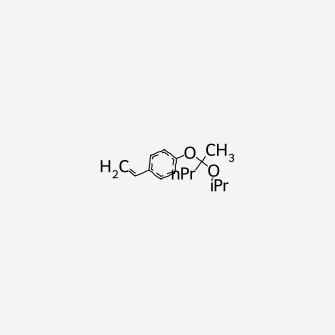 C=Cc1ccc(OC(C)(CCC)OC(C)C)cc1